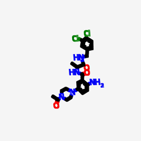 CC(=O)N1CCN(c2ccc(N)c(C(=O)NC(C)C(=O)NCc3ccc(Cl)c(Cl)c3)c2)CC1